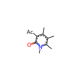 CC(=O)c1c(C)c(C)c(C)n(C)c1=O